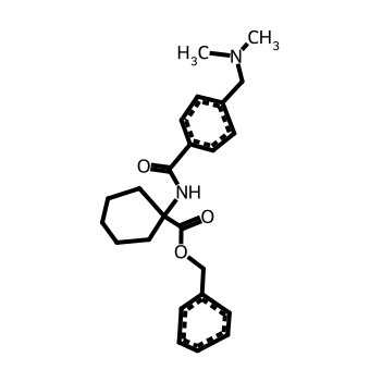 CN(C)Cc1ccc(C(=O)NC2(C(=O)OCc3ccccc3)CCCCC2)cc1